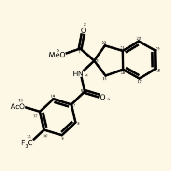 COC(=O)C1(NC(=O)c2ccc(C(F)(F)F)c(OC(C)=O)c2)Cc2ccccc2C1